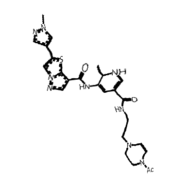 CC(=O)N1CCN(CCNC(=O)C2=CNC(C)C(NC(=O)c3cnn4cc(-c5cnn(C)c5)sc34)=C2)CC1